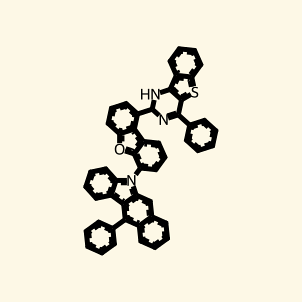 c1ccc(C2=NC(c3cccc4oc5c(-n6c7ccccc7c7c(-c8ccccc8)c8ccccc8cc76)cccc5c34)Nc3c2sc2ccccc32)cc1